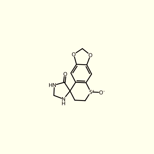 O=C1NCNC12CC[S+]([O-])c1cc3c(cc12)OCO3